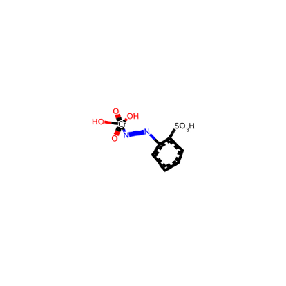 O=S(=O)(O)c1ccccc1N=[N][Cr](=[O])(=[O])([OH])[OH]